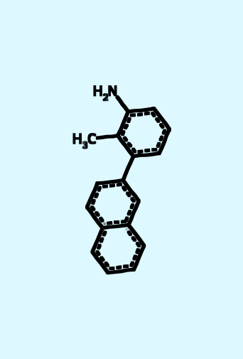 Cc1c(N)cccc1-c1ccc2ccccc2c1